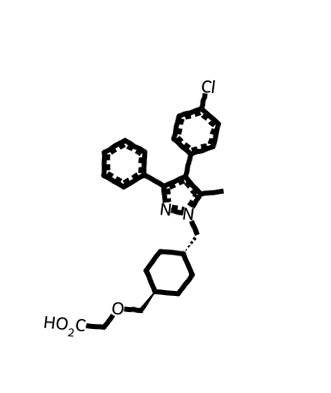 Cc1c(-c2ccc(Cl)cc2)c(-c2ccccc2)nn1C[C@H]1CC[C@H](COCC(=O)O)CC1